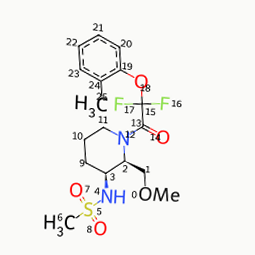 COC[C@H]1[C@@H](NS(C)(=O)=O)CCCN1C(=O)C(F)(F)Oc1ccccc1C